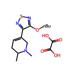 CCCCOc1nsnc1C1=CCC(C)N(C)C1.O=C(O)C(=O)O